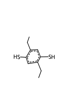 CCc1cc(S)c(CC)cc1S